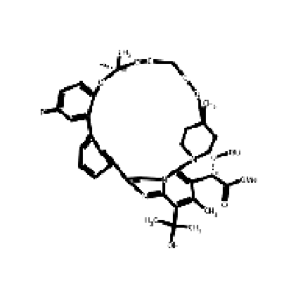 COC(=O)[C@@H](OC(C)(C)C)c1c(C)c(C(C)(C)O)c2nc3cn2c1N1CCC(C)(CC1)OCCCC[C@H](C)Oc1ccc(F)cc1-c1cccc-3c1